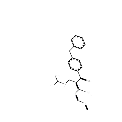 C=N/C=N\C(N)=C(/CNC(CC)CCCC)C(=N)c1ccc(Cc2ccccc2)cc1